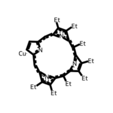 CCC1=C(CC)c2nc1c(CC)c1[nH]c(cc3nc(cc4[nH]c(c2CC)c(CC)c4CC)C=C3)c(CC)c1CC.[Cu]